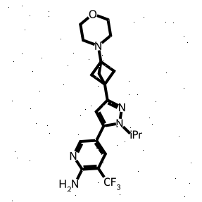 CC(C)n1nc(C23CC(N4CCOCC4)(C2)C3)cc1-c1cnc(N)c(C(F)(F)F)c1